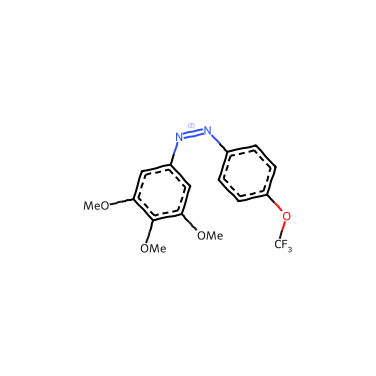 COc1cc(/N=N\c2ccc(OC(F)(F)F)cc2)cc(OC)c1OC